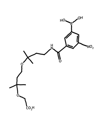 CC(C)(CCNC(=O)c1cc(B(O)O)cc([N+](=O)[O-])c1)OCCC(C)(C)OCC(=O)O